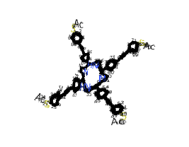 CC(=O)Sc1ccc(C#Cc2c#cc(-c3c4nc(c(-c5ccc(C#Cc6ccc(SC(C)=O)cc6)cc5)c5ccc([nH]5)c(-c5ccc(C#Cc6ccc(SC(C)=O)cc6)cc5)c5nc(c(-c6ccc(C#Cc7ccc(SC(C)=O)cc7)cc6)c6ccc3[nH]6)C=C5)C=C4)cc2)cc1